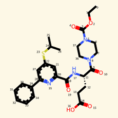 CCOC(=O)N1CCN(C(=O)[C@H](CCC(=O)O)NC(=O)c2cc(SC(C)C)cc(-c3ccccc3)n2)CC1